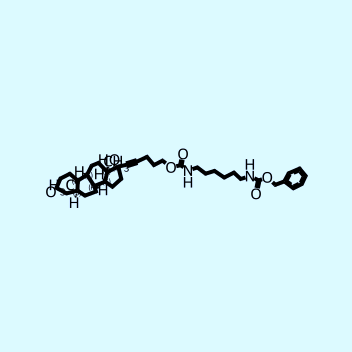 C[C@]12CCC(=O)C[C@@H]1CC[C@@H]1[C@@H]2CC[C@@]2(C)[C@H]1CC[C@@]2(O)C#CCCCOC(=O)NCCCCCCNC(=O)OCc1ccccc1